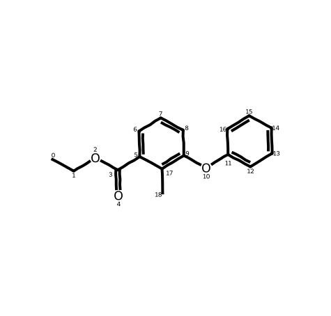 CCOC(=O)c1cccc(Oc2ccccc2)c1C